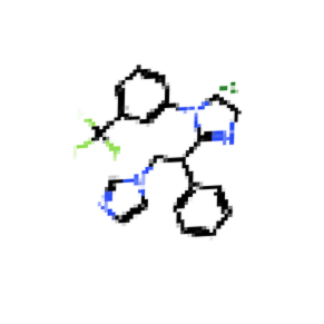 Cl.FC(F)(F)c1cccc(N2CCN=C2C(Cn2ccnc2)c2ccccc2)c1